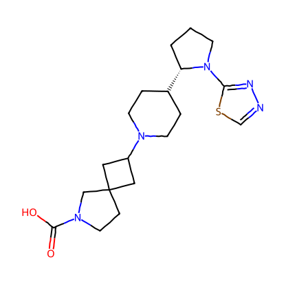 O=C(O)N1CCC2(CC(N3CCC([C@@H]4CCCN4c4nncs4)CC3)C2)C1